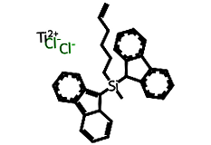 C=CCCCC[Si](C)(C1=c2ccccc2=C2C=CC=CC21)C1c2ccccc2-c2ccccc21.[Cl-].[Cl-].[Ti+2]